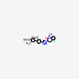 COc1ccc(-c2ccc(-c3cn(C4CCc5c(F)cccc5N(CC(F)(F)F)C4=O)nn3)cc2OC)cc1C